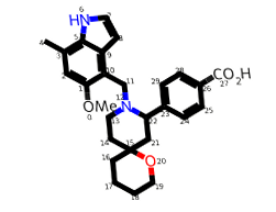 COc1cc(C)c2[nH]ccc2c1CN1CCC2(CCCCO2)CC1c1ccc(C(=O)O)cc1